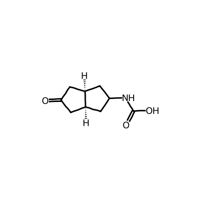 O=C1C[C@@H]2CC(NC(=O)O)C[C@@H]2C1